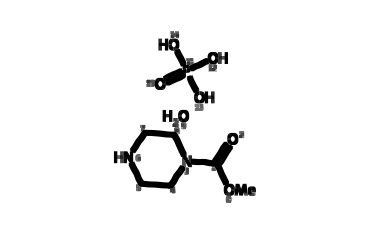 COC(=O)N1CCNCC1.O.O=P(O)(O)O